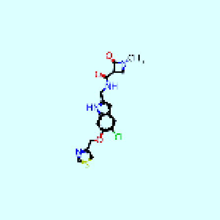 CN1CC(C(=O)NCc2cc3cc(Cl)c(OCc4cscn4)cc3[nH]2)C1=O